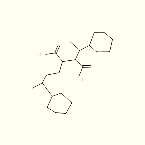 CC(CCC(C(=O)O)C(C(=O)O)C(C)C1CCCCC1)C1CCCCC1